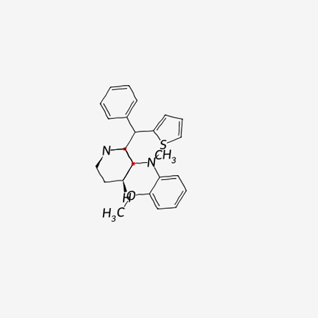 COc1ccccc1N(C)C1C(C(c2ccccc2)c2cccs2)[N@]2CC[C@H]1CC2